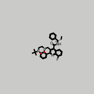 CC[C@H](NC(=O)c1c(CN2CCN(C(C)(C)C)CC2)c(-c2ccccc2)nc2c(F)cccc12)c1ccccc1